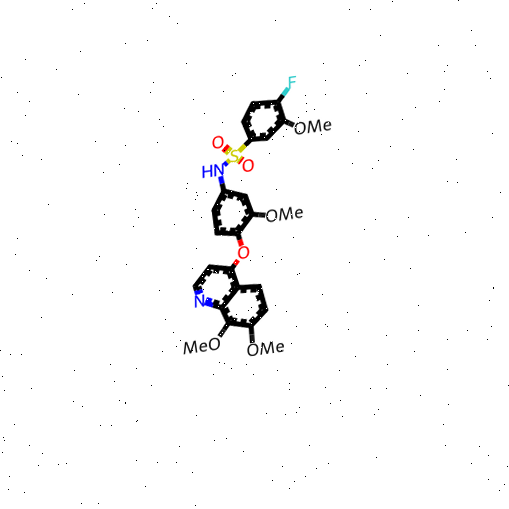 COc1cc(S(=O)(=O)Nc2ccc(Oc3ccnc4c(OC)c(OC)ccc34)c(OC)c2)ccc1F